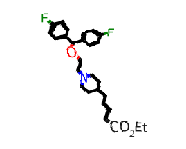 CCOC(=O)CCCCC1CCN(CCOC(c2ccc(F)cc2)c2ccc(F)cc2)CC1